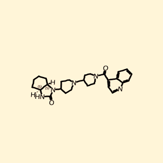 O=C(c1ccnc2ccccc12)N1CCC(N2CCC(N3C(=O)N[C@H]4CCCC[C@@H]43)CC2)CC1